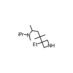 CCC1(C(C)(C)CC(C)N(C)C(C)C)CNC1